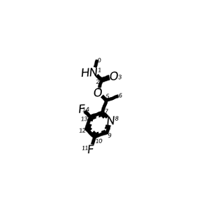 CNC(=O)OC(C)c1ncc(F)cc1F